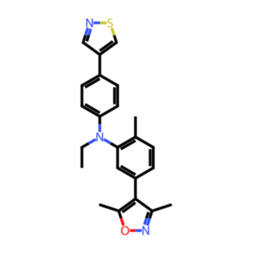 CCN(c1ccc(-c2cnsc2)cc1)c1cc(-c2c(C)noc2C)ccc1C